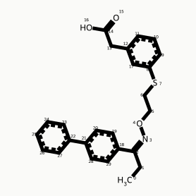 CCC(=NOCCSc1cccc(CC(=O)O)c1)c1ccc(-c2ccccc2)cc1